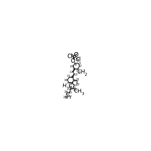 C=C1CC[C@H](OP(=O)(Cl)Cl)C/C1=C/C=C1\CCC[C@@]2(C)C1CC[C@@H]2[C@H](C)CCCC(C)C